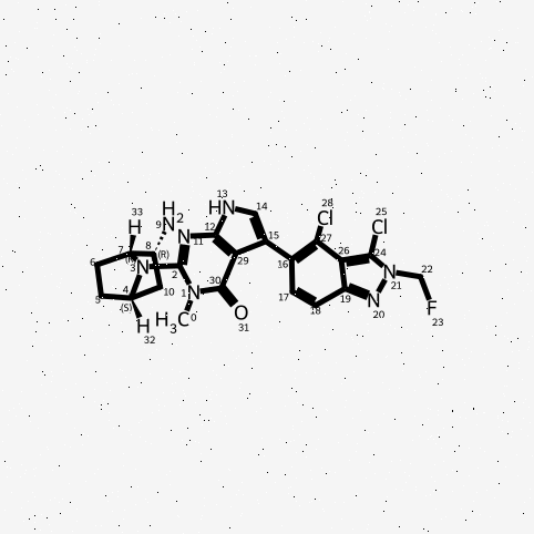 Cn1c(N2[C@H]3CC[C@@H]2[C@H](N)C3)nc2[nH]cc(-c3ccc4nn(CF)c(Cl)c4c3Cl)c2c1=O